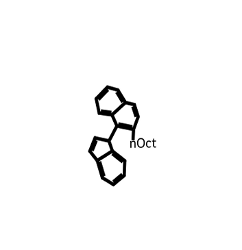 CCCCCCCCc1ccc2ccccc2c1[C]1C=Cc2ccccc21